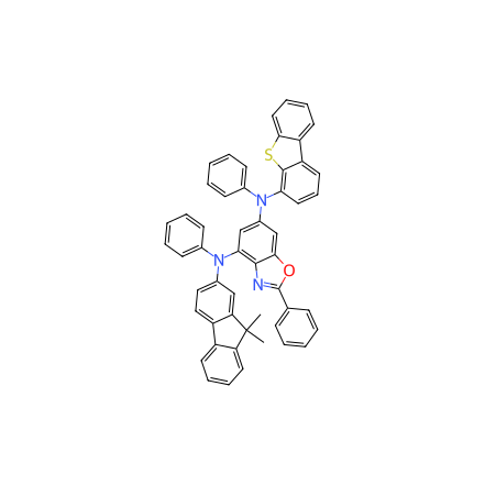 CC1(C)c2ccccc2-c2ccc(N(c3ccccc3)c3cc(N(c4ccccc4)c4cccc5c4sc4ccccc45)cc4oc(-c5ccccc5)nc34)cc21